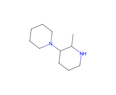 CC1NCCCC1N1CCCCC1